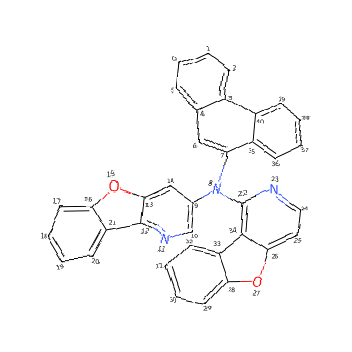 c1ccc2c(c1)cc(N(c1cnc3c(c1)oc1ccccc13)c1nccc3oc4ccccc4c13)c1ccccc12